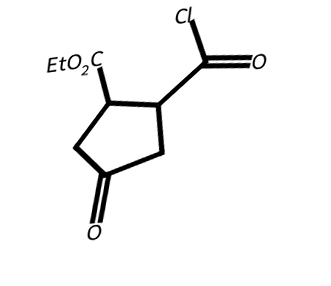 CCOC(=O)C1CC(=O)CC1C(=O)Cl